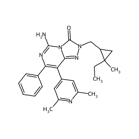 CCC1(C)CC1Cn1nc2c(-c3cc(C)nc(C)c3)c(-c3ccccc3)nc(N)n2c1=O